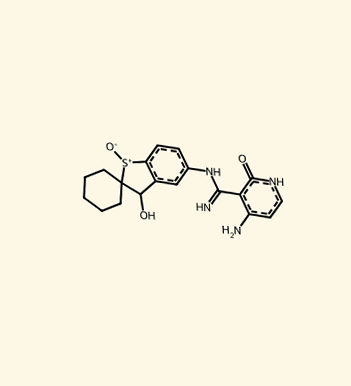 N=C(Nc1ccc2c(c1)C(O)C1(CCCCC1)[S+]2[O-])c1c(N)cc[nH]c1=O